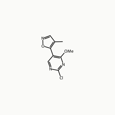 COc1nc(Cl)ncc1-c1oncc1C